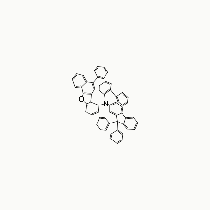 C1=CC(N(C2=C(c3ccccc3)C=CCC2)c2ccc3c(c2)C(C2=CCCC=C2)(c2ccccc2)c2ccccc2-3)C2C(=C1)Oc1c2cc(-c2ccccc2)c2ccccc12